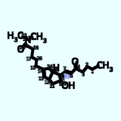 CCCCC(=O)/C=C/[C@H]1[C@H](O)CC2C=C(CCCCC(=O)N(C)C)C[C@@H]21